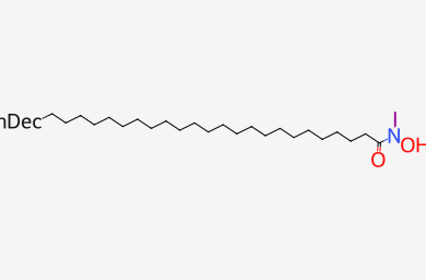 CCCCCCCCCCCCCCCCCCCCCCCCCCCCCCCCCC(=O)N(O)I